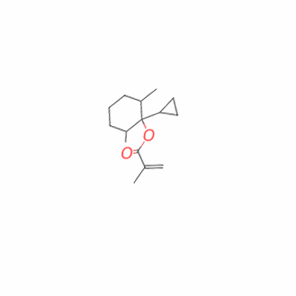 C=C(C)C(=O)OC1(C2CC2)C(C)CCCC1C